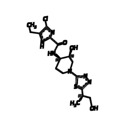 CCc1[nH]c(C(=O)N[C@@H]2CCN(c3nnc([C@H](C)CO)s3)C[C@@H]2O)nc1Cl